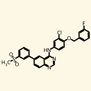 CS(=O)(=O)c1cccc(-c2ccc3ncnc(Nc4ccc(OCc5cccc(F)c5)c(Cl)c4)c3c2)c1